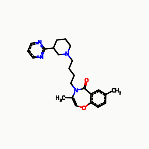 CC1=COc2ccc(C)cc2C(=O)N1CCCCN1CCCC(c2ncccn2)C1